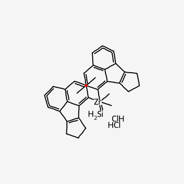 Cc1cc2c3c([c]1[Zr]([CH3])([CH3])(=[SiH2])[c]1c(C)cc4c5c1C1=C(CCC1)C5=C=C=C4)C1=C(CCC1)C3=C=C=C2.Cl.Cl